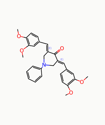 COc1ccc(/C=C2\CN(c3ccccc3)C/C(=C\c3ccc(OC)c(OC)c3)C2=O)cc1OC